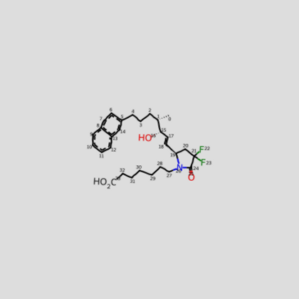 C[C@@H](CCCc1ccc2ccccc2c1)[C@@H](O)C=C[C@H]1CC(F)(F)C(=O)N1CCCCCCC(=O)O